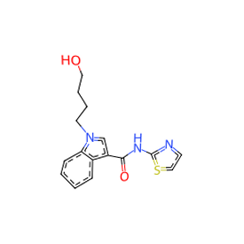 O=C(Nc1nccs1)c1cn(CCCCO)c2ccccc12